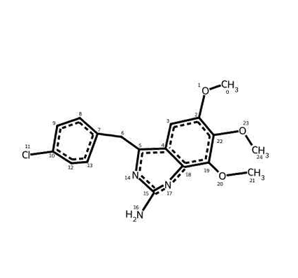 COc1cc2c(Cc3ccc(Cl)cc3)nc(N)nc2c(OC)c1OC